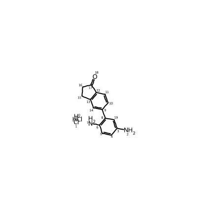 Cl.Cl.Nc1ccc(N)c(-c2ccc3c(c2)CCC3=O)c1